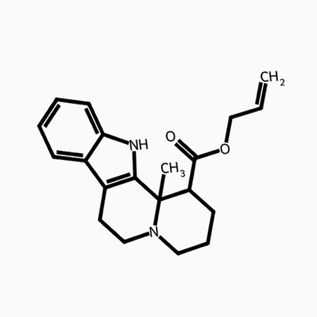 C=CCOC(=O)C1CCCN2CCc3c([nH]c4ccccc34)C12C